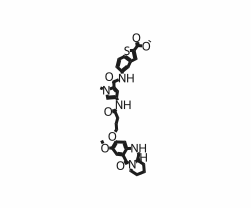 COC(=O)c1cc2cc(NC(=O)c3cc(NC(=O)CCCOc4cc5c(cc4OC)C(=O)N4CCCC[C@H]4CN5)cn3C)ccc2s1